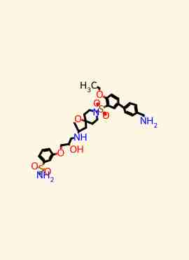 CCOc1ccc(-c2ccc(CN)cc2)cc1S(=O)(=O)N1CCC2(CC1)C[C@@H](NC[C@H](O)COc1cccc(S(N)(=O)=O)c1)CO2